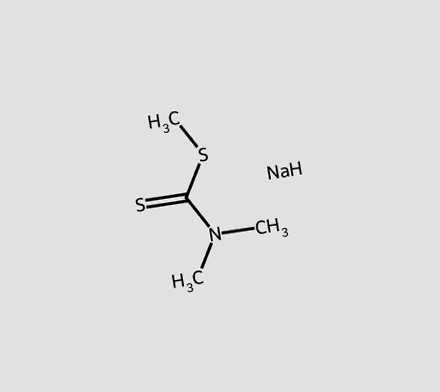 CSC(=S)N(C)C.[NaH]